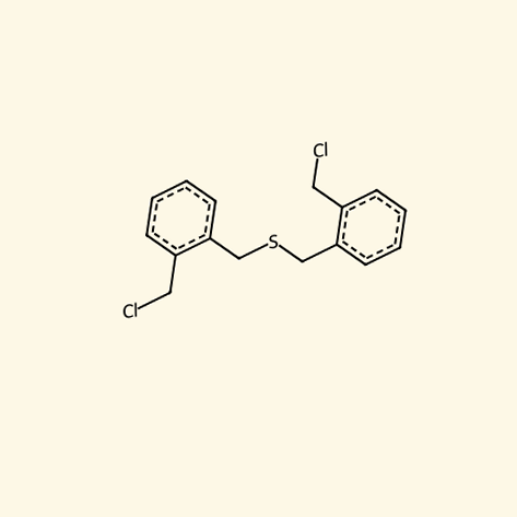 ClCc1ccccc1CSCc1ccccc1CCl